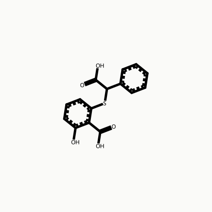 O=C(O)c1c(O)cccc1SC(C(=O)O)c1ccccc1